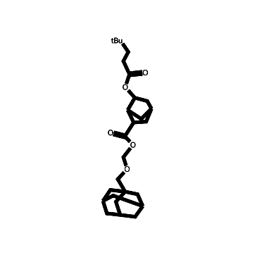 CC(C)(C)CCC(=O)OC1CC2CC(C(=O)OCOCC34CC5CC(CC(C5)C3)C4)C1C2